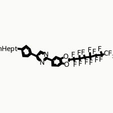 CCCCCCCc1ccc(-c2cnc(-c3ccc4c(c3)OC(C(F)(F)C(F)(F)C(F)(F)C(F)(F)C(F)(F)C(F)(F)C(F)(F)F)O4)nc2)cc1